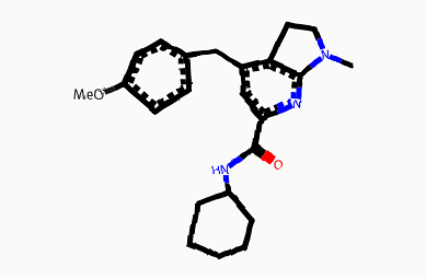 COc1ccc(Cc2cc(C(=O)NC3CCCCC3)nc3c2CCN3C)cc1